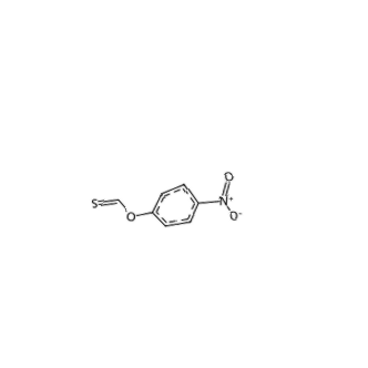 O=[N+]([O-])c1ccc(OC=S)cc1